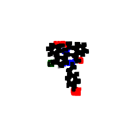 O=C(NCCc1ccc(O)cc1)[C@@H]1c2ccccc2C(=O)N(c2ccccc2O)[C@H]1C1C=CC(Cl)=C1